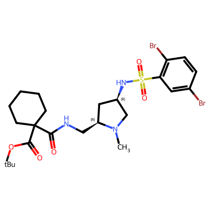 CN1C[C@H](NS(=O)(=O)c2cc(Br)ccc2Br)C[C@@H]1CNC(=O)C1(C(=O)OC(C)(C)C)CCCCC1